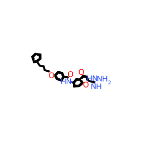 N=C(NN)c1cc(=O)c2cc(NC(=O)c3ccc(OCCCCc4ccccc4)cc3)ccc2o1